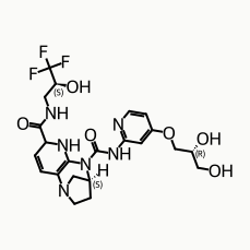 O=C(NC[C@H](O)C(F)(F)F)C1C=CC2=C(N1)N(C(=O)Nc1cc(OC[C@H](O)CO)ccn1)[C@H]1CCN2C1